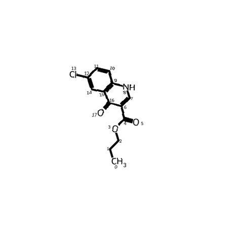 CCCOC(=O)c1c[nH]c2ccc(Cl)cc2c1=O